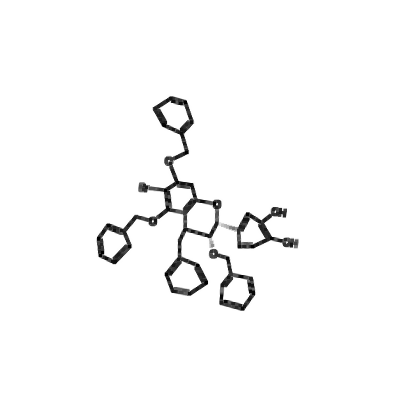 Oc1ccc([C@H]2Oc3cc(OCc4ccccc4)c(Br)c(OCc4ccccc4)c3C(Cc3ccccc3)[C@H]2OCc2ccccc2)cc1O